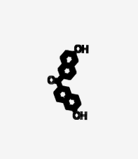 O=C(c1ccc2cc(O)ccc2c1)c1ccc2cc(O)ccc2c1